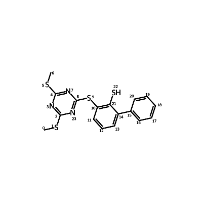 CSc1nc(SC)nc(Sc2cccc(-c3ccccc3)c2S)n1